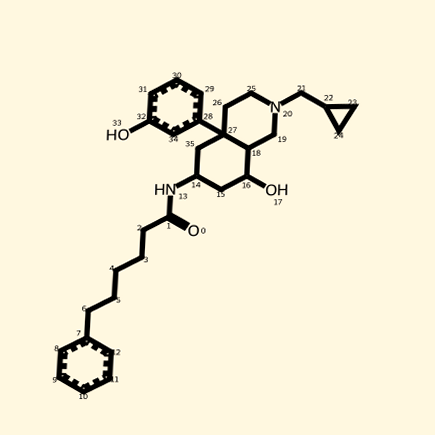 O=C(CCCCCc1ccccc1)NC1CC(O)C2CN(CC3CC3)CCC2(c2cccc(O)c2)C1